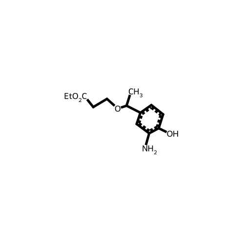 CCOC(=O)CCOC(C)c1ccc(O)c(N)c1